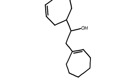 OC(CC1=CCCCCC1)C1CC=CCCC1